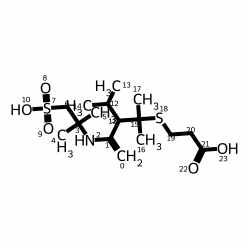 C=C(NC(C)(C)CS(=O)(=O)O)C(C(C)C)C(C)(C)SCCC(=O)O